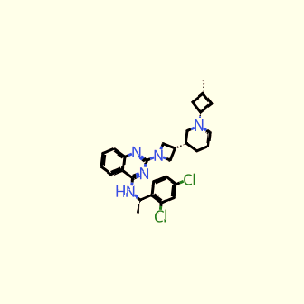 C[C@@H](Nc1nc(N2CC([C@H]3CCCN([C@H]4C[C@@H](C)C4)C3)C2)nc2ccccc12)c1ccc(Cl)cc1Cl